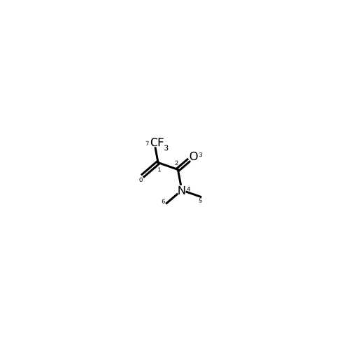 C=C(C(=O)N(C)C)C(F)(F)F